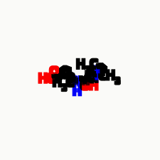 Cc1ccc(C)n1-c1ccc([C@@H](O)CN[C@H](C)Cc2cccc(CC(=O)O)c2)cn1